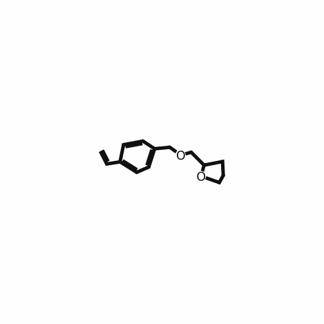 C=Cc1ccc(COCC2CCCO2)cc1